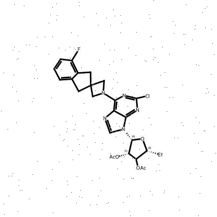 CC[C@H]1O[C@@H](n2cnc3c(N4CC5(Cc6cccc(F)c6C5)C4)nc(Cl)nc32)[C@@H](OC(C)=O)C1OC(C)=O